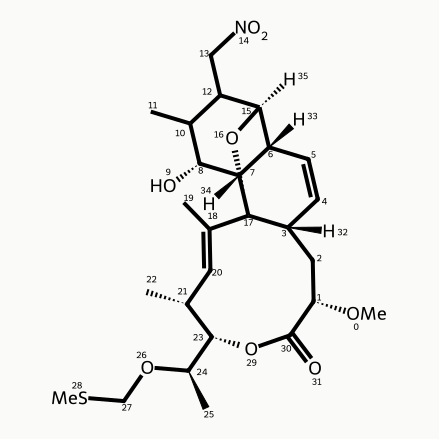 CO[C@H]1C[C@H]2C=C[C@@H]3[C@H]4[C@H](O)C(C)C(C[N+](=O)[O-])[C@@H]3O[C@]42/C(C)=C/[C@@H](C)[C@@H]([C@@H](C)OCSC)OC1=O